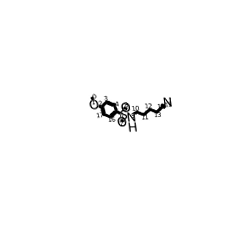 COc1ccc(S(=O)(=O)NCCCCC#N)cc1